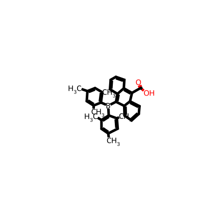 Cc1cc(C)c(B(c2c(C)cc(C)cc2C)c2c3ccccc3c(C(=O)O)c3ccccc23)c(C)c1